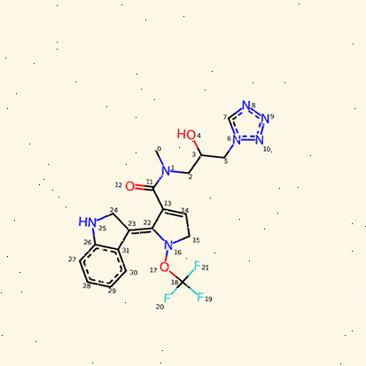 CN(CC(O)Cn1cnnn1)C(=O)C1=CCN(OC(F)(F)F)C1=C1CNc2ccccc21